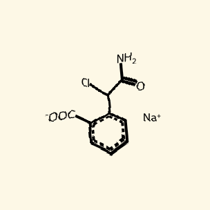 NC(=O)C(Cl)c1ccccc1C(=O)[O-].[Na+]